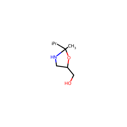 CC(C)C1(C)NCC(CO)O1